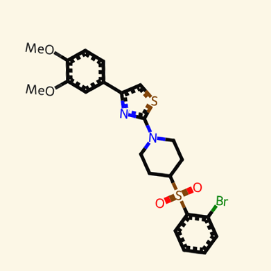 COc1ccc(-c2csc(N3CCC(S(=O)(=O)c4ccccc4Br)CC3)n2)cc1OC